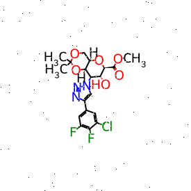 COC(=O)[C@@H]1O[C@@H]2COC(C)(C)O[C@@H]2[C@H](n2cc(-c3cc(F)c(F)c(Cl)c3)nn2)[C@H]1O